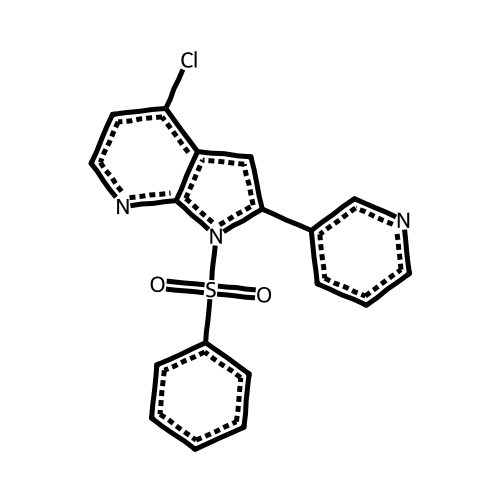 O=S(=O)(c1ccccc1)n1c(-c2cccnc2)cc2c(Cl)ccnc21